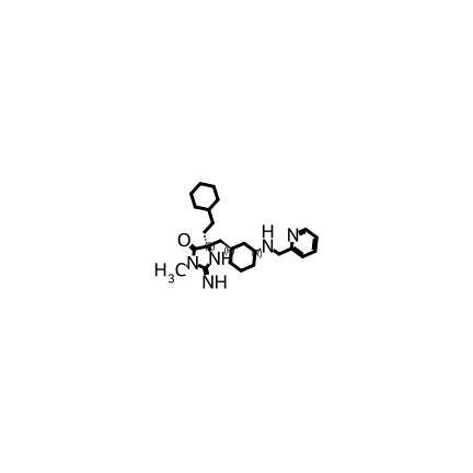 CN1C(=N)N[C@](CCC2CCCCC2)(C[C@@H]2CCC[C@@H](NCc3ccccn3)C2)C1=O